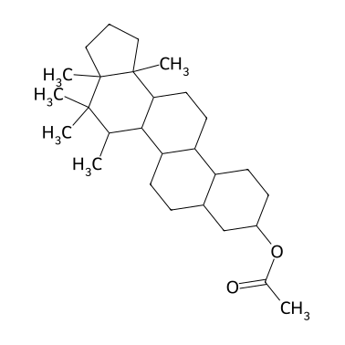 CC(=O)OC1CCC2C(CCC3C2CCC2C3C(C)C(C)(C)C3(C)CCCC23C)C1